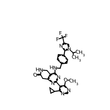 COc1ncnc(C2CC2)c1-c1nc2c(c(NCc3ccc(-c4nc(C(F)(F)F)cn4C(C)C)cc3)n1)CNC(=O)C2